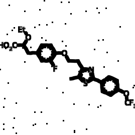 CCOC(Cc1ccc(OCCc2nc(-c3ccc(OC(F)(F)F)cc3)sc2C)c(F)c1)C(=O)O